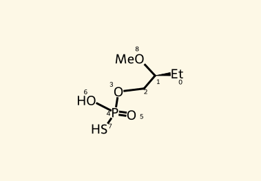 CC[C@@H](COP(=O)(O)S)OC